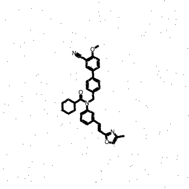 COc1ccc(-c2ccc(CN(C(=O)C3CCCCC3)c3cccc(/C=C/c4nc(C)co4)c3)cc2)cc1C#N